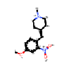 COc1ccc(C=C2CCN(C)CC2)c([N+](=O)[O-])c1